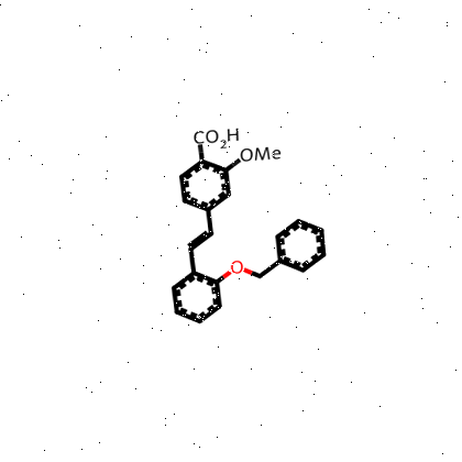 COc1cc(C=Cc2ccccc2OCc2ccccc2)ccc1C(=O)O